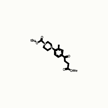 COC(=O)CCC(=O)c1ccc(N2CCN(C(=O)OC(C)(C)C)CC2)c(C)c1